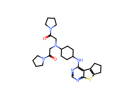 O=C(CN(CC(=O)N1CCCC1)C1CCC(Nc2ncnc3sc4c(c23)CCC4)CC1)N1CCCC1